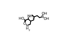 CC(CCB(O)O)CC(CN)C(N)C(=O)O